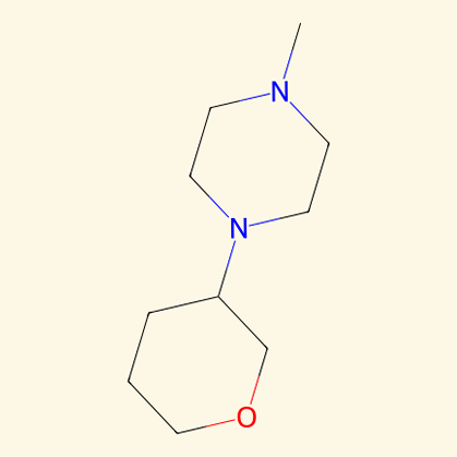 CN1CCN(C2CCCOC2)CC1